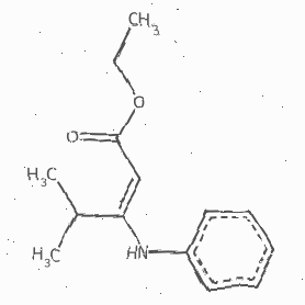 CCOC(=O)C=C(Nc1ccccc1)C(C)C